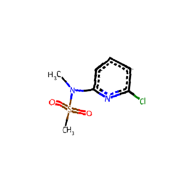 CN(c1cc[c]c(Cl)n1)S(C)(=O)=O